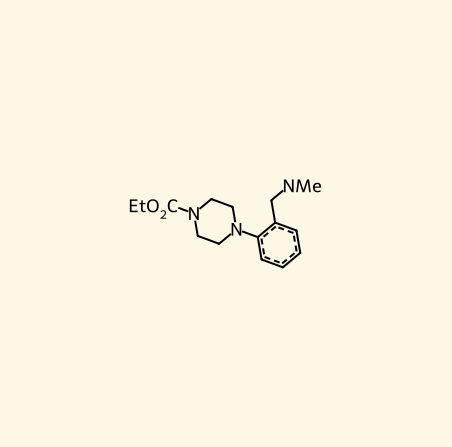 CCOC(=O)N1CCN(c2ccccc2CNC)CC1